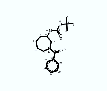 CC(C)(C)OC(=O)NC1CCCCN(C(=O)c2ccccc2)C1